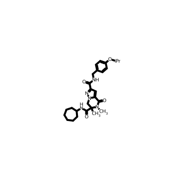 CC(C)Oc1ccc(CNC(=O)c2cc3n(n2)CC(C)(C(=O)NC2CCCCCC2)N(C)C3=O)cc1